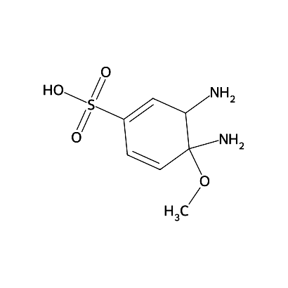 COC1(N)C=CC(S(=O)(=O)O)=CC1N